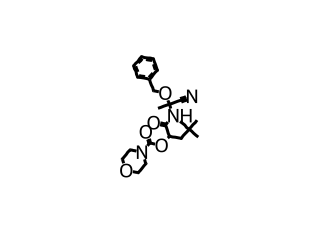 CC(C)(C)CC(OC(=O)N1CCOCC1)C(=O)NC(C)(C#N)OCc1ccccc1